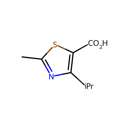 Cc1nc(C(C)C)c(C(=O)O)s1